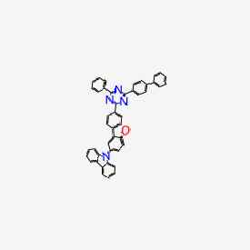 c1ccc(-c2ccc(-c3nc(-c4ccccc4)nc(-c4ccc5c(c4)oc4ccc(-n6c7ccccc7c7ccccc76)cc45)n3)cc2)cc1